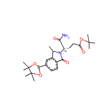 CC1c2cc(B3OC(C)(C)C(C)(C)O3)ccc2C(=O)N1[C@@H](CCC(=O)OC(C)(C)C)C(N)=O